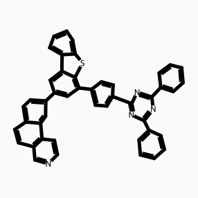 c1ccc(-c2nc(-c3ccccc3)nc(-c3ccc(-c4cc(-c5ccc6ccc7cnccc7c6c5)cc5c4sc4ccccc45)cc3)n2)cc1